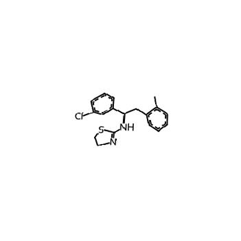 Cc1ccccc1CC(NC1=NCCS1)c1cccc(Cl)c1